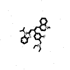 CCN(CC)Cc1ccc(C(=C\c2cc[n+](C)c3ccccc23)/C=C2\Sc3ccccc3N2C(C)C)cc1F